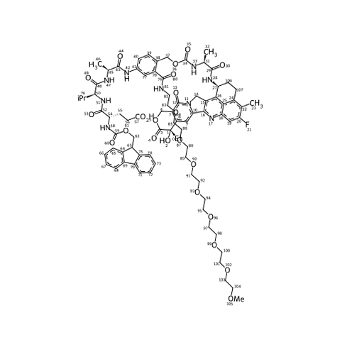 CC[C@@]1(O)C(=O)OCc2c1cc1n(c2=O)Cc2c-1nc1cc(F)c(C)c3c1c2[C@@H](NC(=O)[C@H](C)NC(=O)OCc1ccc(NC(=O)[C@H](C)NC(=O)[C@@H](NC(=O)[C@H](CCC(=O)O)NC(=O)OCC2c4ccccc4-c4ccccc42)C(C)C)cc1C(=O)NCCOCCOCCOCCOCCOCCOCCOCCOC)CC3